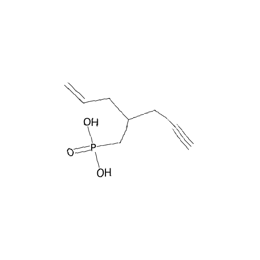 C#CCC(CC=C)CP(=O)(O)O